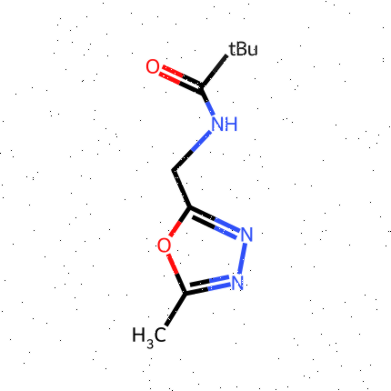 Cc1nnc(CNC(=O)C(C)(C)C)o1